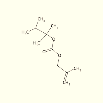 C=C(C)COC(=O)OC(C)(C)C(C)C